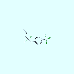 [CH]=CCC(F)(F)Cc1ccc(C(F)(F)F)cc1